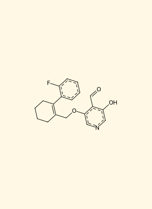 O=Cc1c(O)cncc1OCC1=C(c2ccccc2F)CCCC1